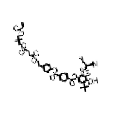 C=CC(=O)OCC(C)(C)COC(=O)CCC(=O)OCCc1ccc(OC(=O)C2CCC(C(=O)Oc3cc(C(C)(C)C)c(O)c4c3SC(=C(C#N)C#N)S4)CC2)cc1